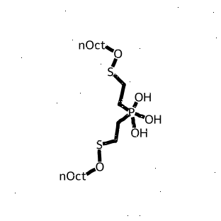 CCCCCCCCOSCCP(O)(O)(O)CCSOCCCCCCCC